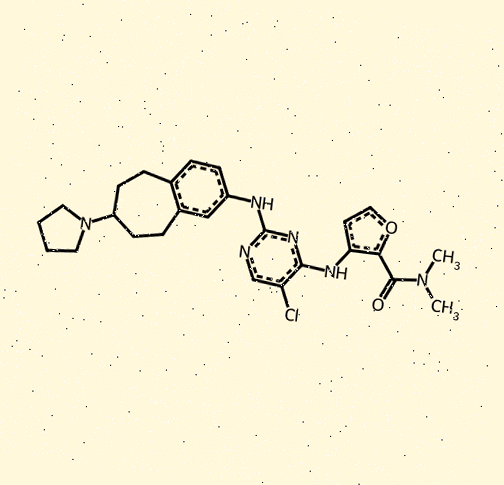 CN(C)C(=O)c1occc1Nc1nc(Nc2ccc3c(c2)CCC(N2CCCC2)CC3)ncc1Cl